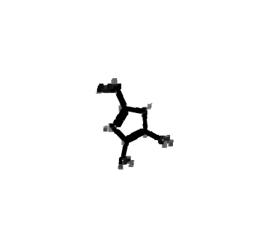 CC(=O)Nc1nc(C)c(C)s1